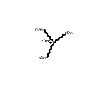 CCCCCCCCCCCCCCCCC[N+](CCCCCCCCCCC)(CCCCCCCCCCCCCCCCC)CCCCCCCCCCCCCCCCC